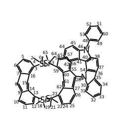 C[Si]1(C)c2cccc3cc4cccc(c4cc23)[Si](C)(C)[Si](C)(C)c2cccc3c(-n4c5ccccc5c5ccc6c(c7ccccc7n6-c6ccccc6)c54)c4cccc(c4cc23)[Si]1(C)C